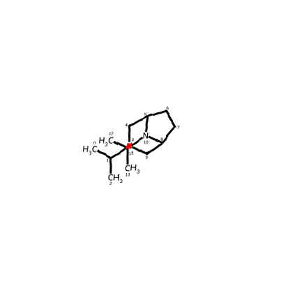 CC(C)N1CC2CCC(C1)N2C(C)C